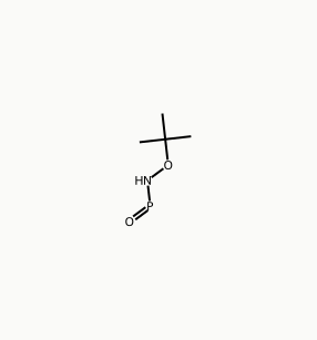 CC(C)(C)ONP=O